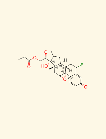 CCC(=O)OCC(=O)[C@@]1(O)C(C)C[C@H]2[C@@H]3CC(F)C4=CC(=O)C=C[C@]4(C)[C@]34OC4C[C@@]21C